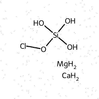 O[Si](O)(O)OCl.[CaH2].[MgH2]